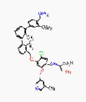 COc1cc(-c2cccc(-c3cccc(COc4cc(OCc5cncc(C#N)c5)c(CNC(CO)C(=O)O)cc4Cl)c3C)c2C)ccc1CN